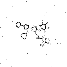 CC(C)(C)OC(=O)NCCC(OC(=O)c1ccc(-c2ccccc2)cc1OC1CCCCO1)C(=O)Oc1c(F)c(F)c(F)c(F)c1F